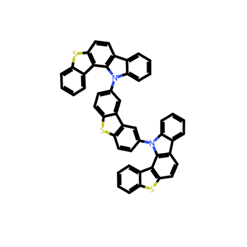 c1ccc2c(c1)sc1ccc3c4ccccc4n(-c4ccc5sc6ccc(-n7c8ccccc8c8ccc9sc%10ccccc%10c9c87)cc6c5c4)c3c12